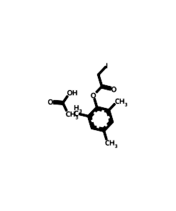 CC(=O)O.Cc1cc(C)c(OC(=O)CI)c(C)c1